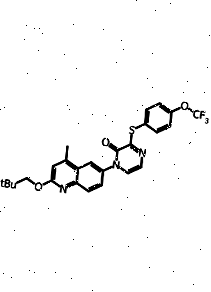 Cc1cc(OCC(C)(C)C)nc2ccc(-n3ccnc(Sc4ccc(OC(F)(F)F)cc4)c3=O)cc12